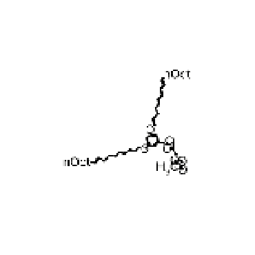 CCCCCCCCC=CCCCCCCCCOc1cc(OCCCCCCCCC=CCCCCCCCC)cc(C2OCC(COS(C)(=O)=O)O2)c1